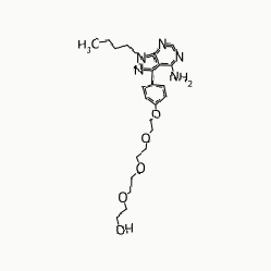 CCCCn1nc(-c2ccc(OCCOCCOCCOCCO)cc2)c2c(N)ncnc21